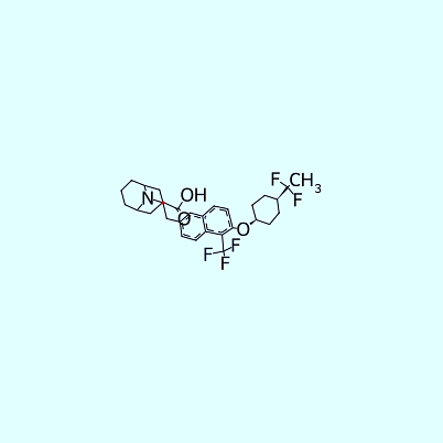 CC(F)(F)[C@H]1CC[C@@H](Oc2ccc3cc(CCN4C5CCCC4CC(C(=O)O)C5)ccc3c2C(F)(F)F)CC1